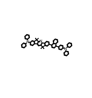 CC1(C)c2cc(-c3ccc(-c4ccc(N(c5ccccc5)c5ccccc5)cc4)c4ccccc34)ccc2-c2nc3c(cc21)-c1ccc(N(c2ccccc2)c2ccccc2)cc1C3(C)C